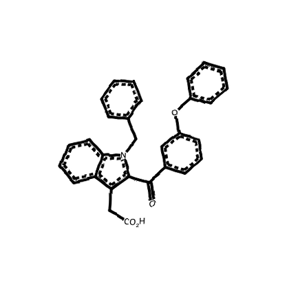 O=C(O)Cc1c(C(=O)c2cccc(Oc3ccccc3)c2)n(Cc2ccccc2)c2ccccc12